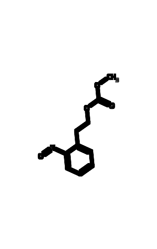 COC(=O)OCCc1ccccc1N=O